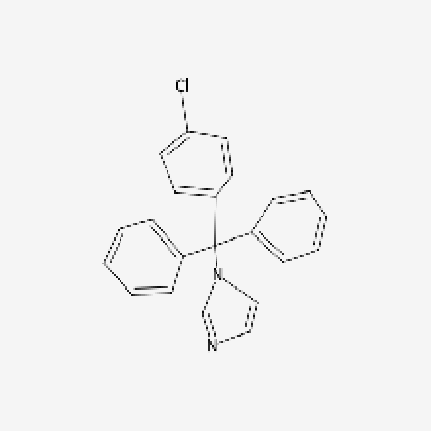 Clc1ccc(C(c2ccccc2)(c2ccccc2)n2ccnc2)cc1